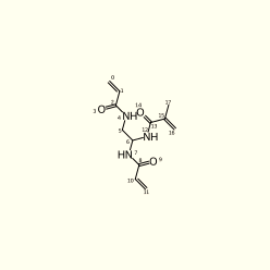 C=CC(=O)NCC(NC(=O)C=C)NC(=O)C(=C)C